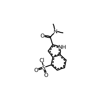 CN(C)C(=O)c1cc2c(S(=O)(=O)Cl)cccc2[nH]1